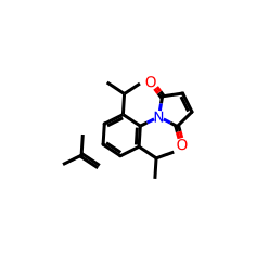 C=C(C)C.CC(C)c1cccc(C(C)C)c1N1C(=O)C=CC1=O